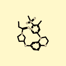 CCC(=O)N1CCC(Oc2ccc3c(c2)N(c2cnc(S(C)(=O)=O)c(C)c2)CCO3)C1